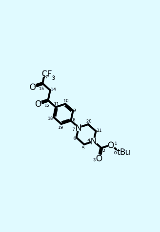 CC(C)(C)OC(=O)N1CCN(c2ccc(C(=O)CC(=O)C(F)(F)F)cc2)CC1